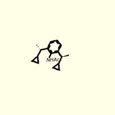 CC(=O)Nc1c([C@@H](C)C2CC2)cccc1[C@@H](C)C1CC1